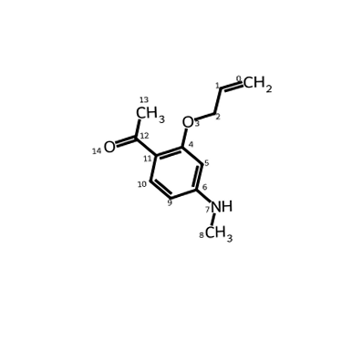 C=CCOc1cc(NC)ccc1C(C)=O